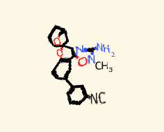 [C-]#[N+]c1cccc(-c2ccc3c(c2)C2(CC4(CC5CCC4OC5)O3)N=C(N)N(C)O2)c1